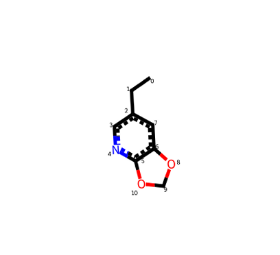 CCc1cnc2c(c1)OCO2